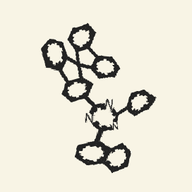 c1ccc(-c2nc(-c3ccc4c(c3)C3(c5ccccc5-c5ccccc53)c3ccccc3-4)nc(-c3cccc4ccccc34)n2)cc1